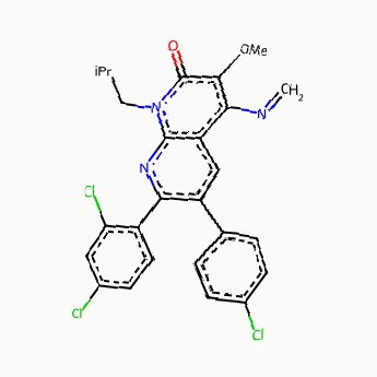 C=Nc1c(OC)c(=O)n(CC(C)C)c2nc(-c3ccc(Cl)cc3Cl)c(-c3ccc(Cl)cc3)cc12